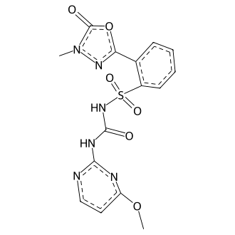 COc1ccnc(NC(=O)NS(=O)(=O)c2ccccc2-c2nn(C)c(=O)o2)n1